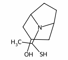 CC(S)N1C2CCC1CC(O)C2